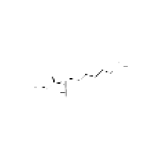 O=C(CBr)NCCCCCCO